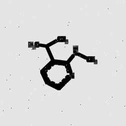 CNc1ncccc1C(C)C